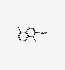 COc1ccc2c(C)cccc2c1F